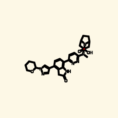 CN(c1ccc(-c2ccc(-c3cnn(C4CCCCO4)c3)c3c2NC(=O)C3)nn1)C1CC2CCC(C1)N2C(=O)O